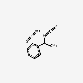 CC(N=C=S)c1ccccc1.N=C=S